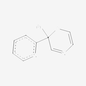 CC(C)C1(c2ccccn2)C=NC=CO1